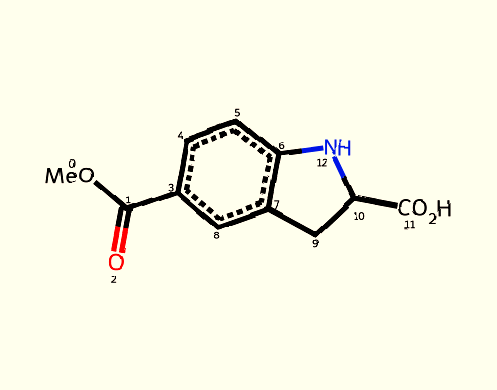 COC(=O)c1ccc2c(c1)CC(C(=O)O)N2